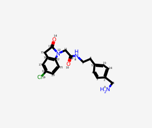 NCc1ccc(CCNC(=O)CN2C(=O)Cc3cc(Cl)ccc32)cc1